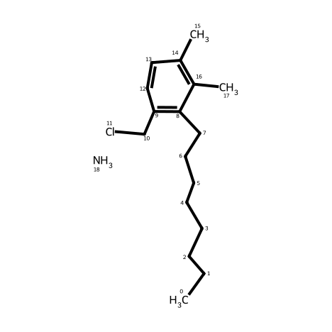 CCCCCCCCc1c(CCl)ccc(C)c1C.N